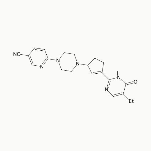 CCc1cnc(C2=CC(N3CCN(c4ccc(C#N)cn4)CC3)CC2)[nH]c1=O